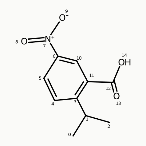 CC(C)c1ccc([N+](=O)[O-])cc1C(=O)O